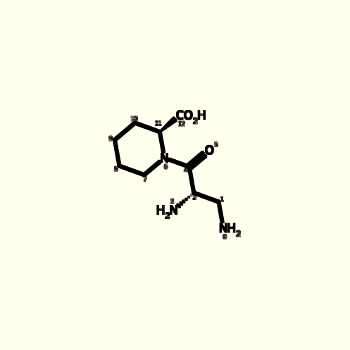 NC[C@H](N)C(=O)N1CCCC[C@H]1C(=O)O